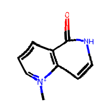 C[n+]1cccc2c(=O)[nH]ccc21